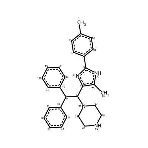 Cc1ccc(-c2nc(C(C(c3ccccc3)c3ccccc3)N3CCNCC3)c(C)[nH]2)cc1